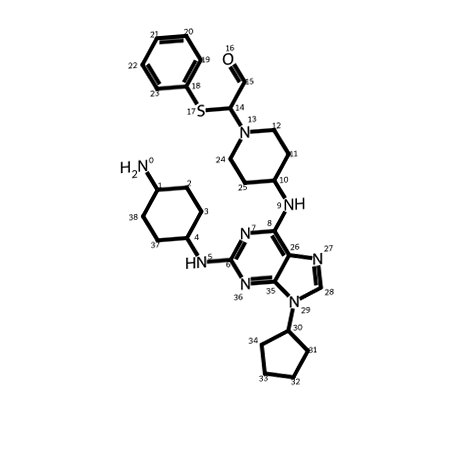 NC1CCC(Nc2nc(NC3CCN(C(C=O)Sc4ccccc4)CC3)c3ncn(C4CCCC4)c3n2)CC1